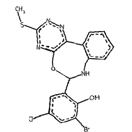 CSc1nnc2c(n1)OC(c1cc(Cl)cc(Br)c1O)Nc1ccccc1-2